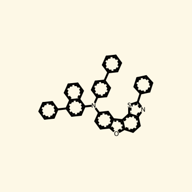 c1ccc(-c2ccc(N(c3ccc4oc5ccc6nc(-c7ccccc7)sc6c5c4c3)c3ccc(-c4ccccc4)c4ccccc34)cc2)cc1